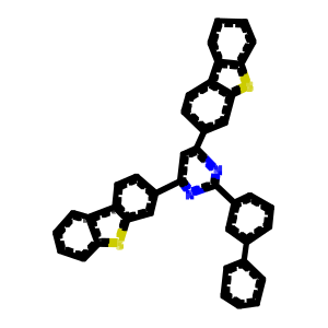 c1ccc(-c2cccc(-c3nc(-c4ccc5c(c4)sc4ccccc45)cc(-c4ccc5c(c4)sc4ccccc45)n3)c2)cc1